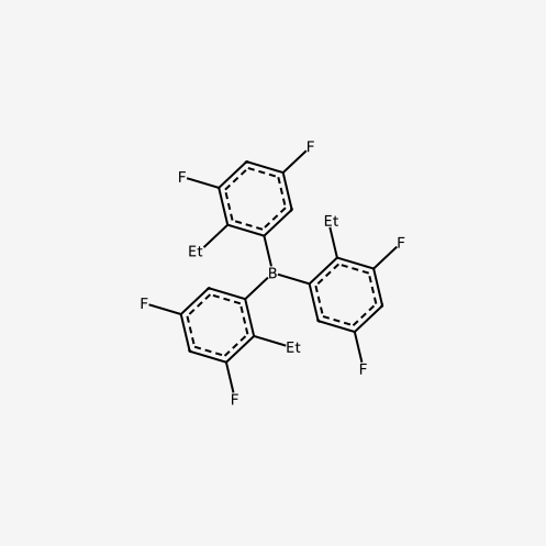 CCc1c(F)cc(F)cc1B(c1cc(F)cc(F)c1CC)c1cc(F)cc(F)c1CC